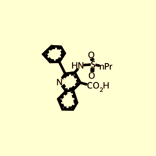 CCCS(=O)(=O)Nc1c(-c2ccccc2)nc2ccccc2c1C(=O)O